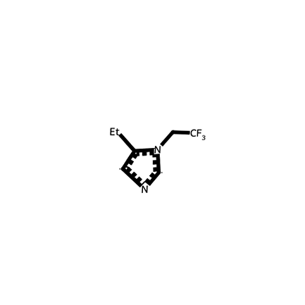 CCc1[c]n[c]n1CC(F)(F)F